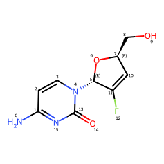 Nc1ccn([C@@H]2O[C@@H](CO)C=C2F)c(=O)n1